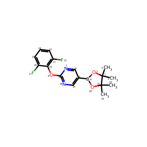 CC1(C)OB(c2cnc(Oc3c(F)cccc3F)nc2)OC1(C)C